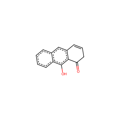 O=C1CC=Cc2cc3ccccc3c(O)c21